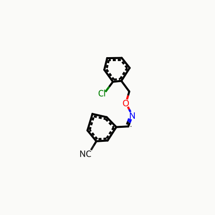 N#Cc1cccc(/[C]=N\OCc2ccccc2Cl)c1